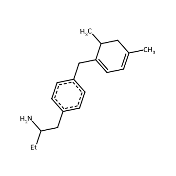 CCC(N)Cc1ccc(CC2=CC=C(C)CC2C)cc1